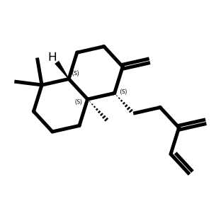 C=CC(=C)CC[C@H]1C(=C)CC[C@H]2C(C)(C)CCC[C@]12C